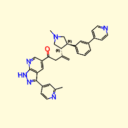 C=C(CC(=O)c1cnc2[nH]nc(-c3ccnc(C)c3)c2c1)[C@@H]1CN(C)C[C@H]1c1cccc(-c2ccncc2)c1